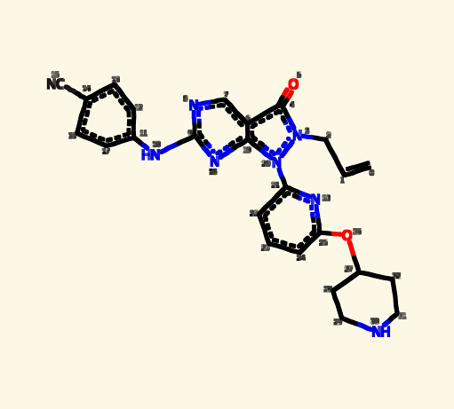 C=CCn1c(=O)c2cnc(Nc3ccc(C#N)cc3)nc2n1-c1cccc(OC2CCNCC2)n1